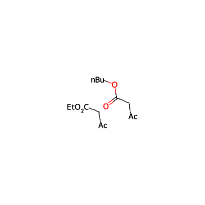 CCCCOC(=O)CC(C)=O.CCOC(=O)CC(C)=O